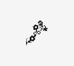 CC(C)(C)OC(=O)N1CCCN1c1cccc(C(=O)OCc2ccc(C(F)(F)F)cc2)c1